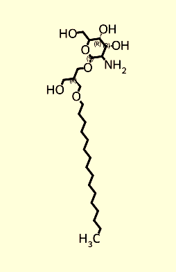 CCCCCCCCCCCCCCCCOC[C@@H](CO)CO[C@H]1OC(CO)[C@H](O)[C@H](O)C1N